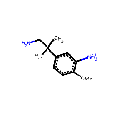 COc1ccc(C(C)(C)CN)cc1N